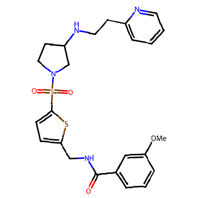 COc1cccc(C(=O)NCc2ccc(S(=O)(=O)N3CCC(NCCc4ccccn4)C3)s2)c1